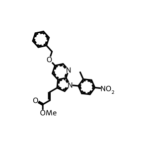 COC(=O)/C=C/c1cn(-c2ccc([N+](=O)[O-])cc2C)c2ncc(OCc3ccccc3)cc12